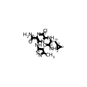 Cc1cc(Nc2nc(N[C@H](CC3CC3)C(N)=O)c(Cl)nc2C(N)=O)sn1